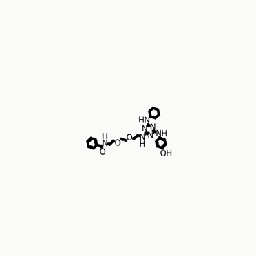 O=C(NCCOCCOCCNc1nc(Nc2ccc(O)cc2)nc(NC2CCCCC2)n1)c1ccccc1